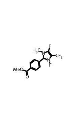 COC(=O)c1ccc(C2N(C)C(F)=C(C(F)(F)F)N2F)cc1